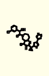 O=C(C(O)c1cccc(Cl)c1)N1CCCc2nc(C3(c4cc(-c5cnsc5)cs4)CC3)[nH]c(=O)c2C1